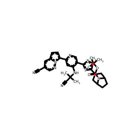 CC(C)(C#N)Nc1cc(-c2ccc3cc(C#N)cnn23)ncc1-c1nnc(N2CC3CCC(C2)N3C(=O)OC(C)(C)C)s1